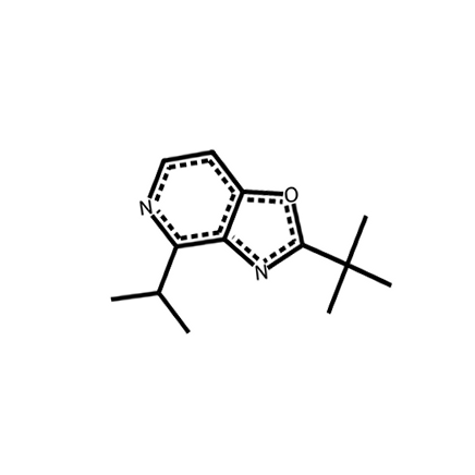 CC(C)c1nccc2oc(C(C)(C)C)nc12